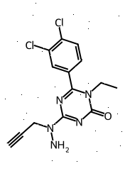 C#CCN(N)c1nc(-c2ccc(Cl)c(Cl)c2)n(CC)c(=O)n1